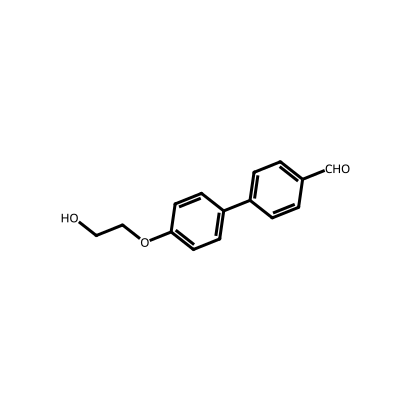 O=Cc1ccc(-c2ccc(OCCO)cc2)cc1